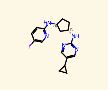 Ic1ccc(N[C@H]2CC[C@H](Nc3ncc(C4CC4)cn3)C2)nc1